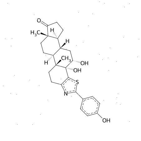 C[C@]12CC[C@H]3[C@@H](C[C@H](O)[C@@]4(O)c5sc(-c6ccc(O)cc6)nc5CC[C@]34C)[C@@H]1CCC2=O